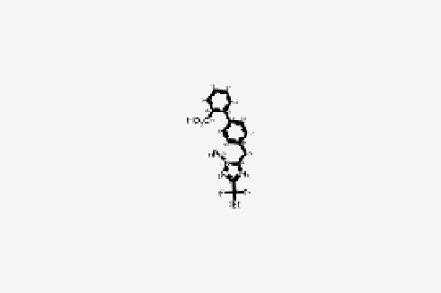 CCCn1nc(C(F)(F)CC)nc1Cc1ccc(-c2ccccc2C(=O)O)cc1